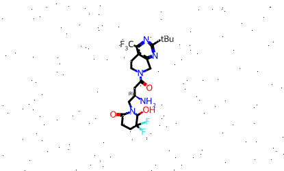 CC(C)(C)c1nc2c(c(C(F)(F)F)n1)CCN(C(=O)C[C@@H](N)CN1C(=O)CCC(F)(F)C1O)C2